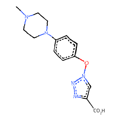 CN1CCN(c2ccc(On3cc(C(=O)O)nn3)cc2)CC1